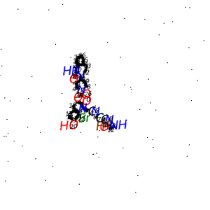 O=C(N=C=C=NC=C=C=N[SH]1(=O)CN1)[C@@H](Cc1ccc(O)c(Br)c1)OC(=O)N1CCC(N2CCc3ccccc3NC2=O)CC1